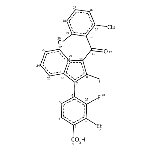 CCc1c(C(=O)O)ccc(-c2c(C)c(C(=O)c3c(Cl)cccc3Cl)n3ccccc23)c1F